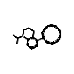 CC(C)N1CCCc2c(-c3ccccccccc3)cccc21